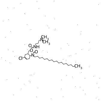 CCCCCCCCCCCCCCCCCCN(C=O)C1CC=C(Cl)CC1COC(=O)NCCCN(C)C